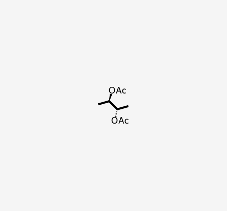 CC(=O)O[C@@H](C)[C@@H](C)OC(C)=O